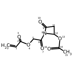 C=CC(=O)OCC(=O)N1C(=O)CC1OC(C)=O